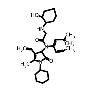 C=CC1=C(C)N(C2CCCCC2)C(=O)C1N(C(=O)CNC1CCCCC1O)C(/C=C\C)=C/C(=C)C